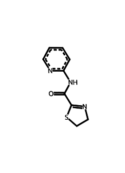 O=C(Nc1ccccn1)C1=NCCS1